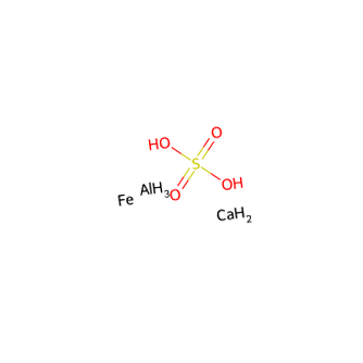 O=S(=O)(O)O.[AlH3].[CaH2].[Fe]